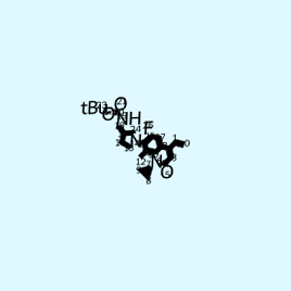 C=Cc1cc(=O)n(C2CC2)c2c(C)c(N3CCC(CNC(=O)OC(C)(C)C)C3)c(F)cc12